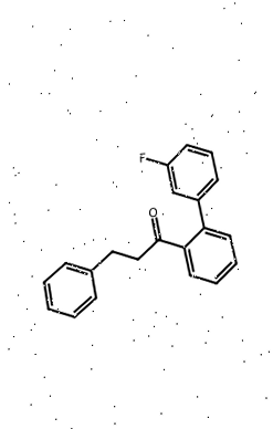 O=C(CCc1ccccc1)c1ccccc1-c1cccc(F)c1